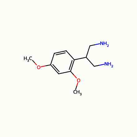 COc1ccc(C(CN)CN)c(OC)c1